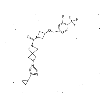 O=C(N1CC(OCc2ccc(C(F)(F)F)c(F)c2)C1)N1CC2(CC(n3cnc(C4CC4)c3)C2)C1